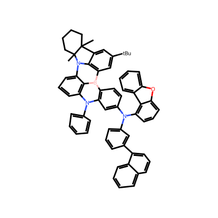 CC(C)(C)c1cc2c3c(c1)C1(C)CCCCC1(C)N3c1cccc3c1B2c1ccc(N(c2cccc(-c4cccc5ccccc45)c2)c2cccc4oc5ccccc5c24)cc1N3c1ccccc1